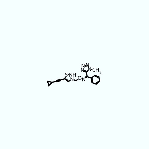 Cn1nnnc1C(=NOCN1C=C(C#CC2CC2)SN1)c1ccccc1